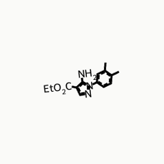 CCOC(=O)c1cnn(-c2ccc(C)c(C)c2)c1N